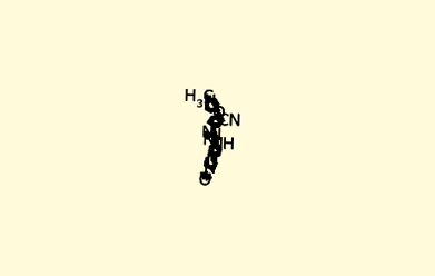 CN1CCCC(Oc2ccc(-c3ncnc(Nc4ccc(N5CCN(C6COC6)CC5)cc4)n3)cc2C#N)CC1